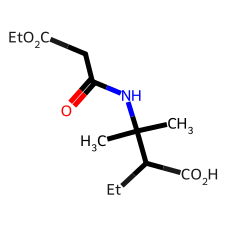 CCOC(=O)CC(=O)NC(C)(C)C(CC)C(=O)O